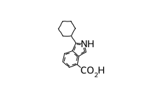 O=C(O)c1cccc2c(C3CCCCC3)[nH]cc12